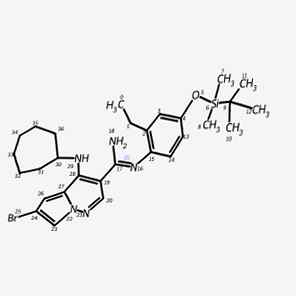 CCc1cc(O[Si](C)(C)C(C)(C)C)ccc1/N=C(\N)c1cnn2cc(Br)cc2c1NC1CCCCCC1